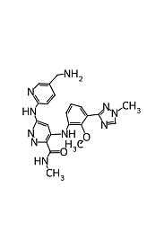 CNC(=O)c1nnc(Nc2ccc(CN)cn2)cc1Nc1cccc(-c2ncn(C)n2)c1OC